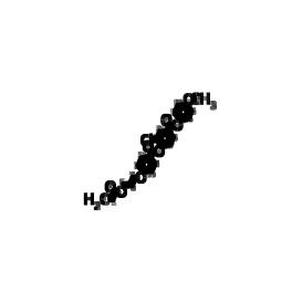 C=CC(=O)OCCCOc1ccc(C(=O)Oc2ccc(C(=O)Oc3ccc(OC)cc3)cc2Cl)cc1